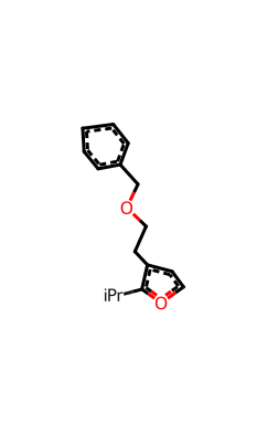 CC(C)c1occc1CCOCc1ccccc1